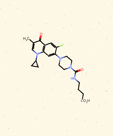 Cc1cn(C2CC2)c2cc(N3CCN(C(=O)NCCCC(=O)O)CC3)c(F)cc2c1=O